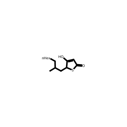 CCCCCCCC(C)CC1SC(=O)C=C1O